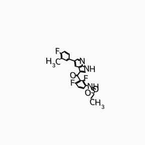 CCCS(=O)(=O)Nc1ccc(F)c(C(=O)c2c[nH]c3ncc(-c4ccc(F)c(C)c4)cc23)c1F